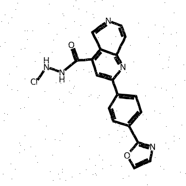 O=C(NNCl)c1cc(-c2ccc(-c3ncco3)cc2)nc2ccncc12